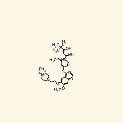 C\C=C/C=C(\C=N/NC(=N)/C=C(\O)C(C)(C)C)Sc1ncnc2cc(OC)c(OCCN3CCN(SC)CC3)cc12